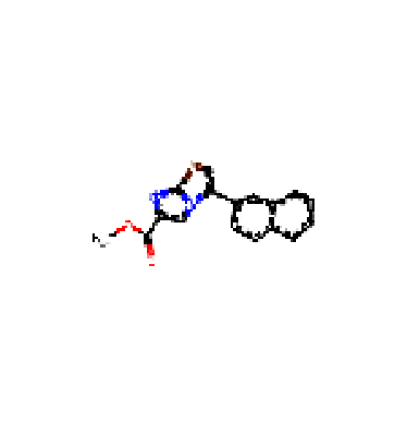 COC(=O)c1cn2c(-c3ccc4ccccc4c3)csc2n1